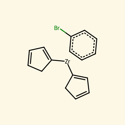 Brc1ccccc1.C1=CC[C]([Zr][C]2=CC=CC2)=C1